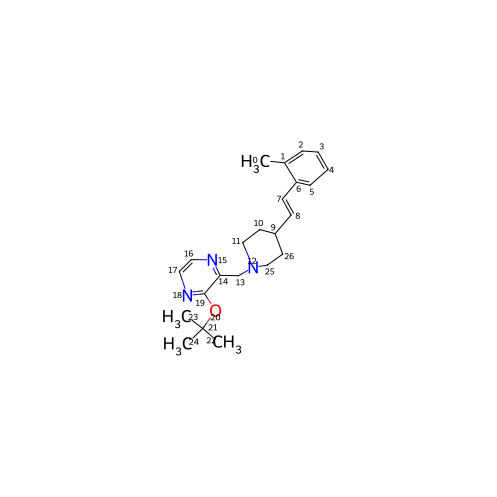 Cc1ccccc1/C=C/C1CCN(Cc2nccnc2OC(C)(C)C)CC1